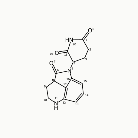 O=C1CCC(N2C(=O)C3CCNc4cccc2c43)C(=O)N1